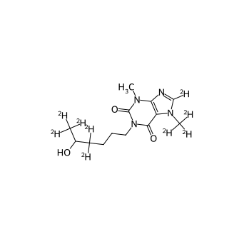 [2H]c1nc2c(c(=O)n(CCCC([2H])([2H])C(O)C([2H])([2H])[2H])c(=O)n2C)n1C([2H])([2H])[2H]